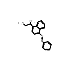 NCC(N)c1ccc(N=Nc2ccccc2)c2ccccc12